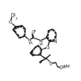 COCCOC(C)(C)c1ccccc1Oc1ncccc1NC(=O)Nc1ccc(OC(F)(F)F)cc1